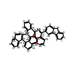 c1ccc2c(c1)Cc1ccc(-c3nc(-c4ccccc4N4c5ccc6ccccc6c5-c5cccc6cccc4c56)nc4ccccc34)cc1-2